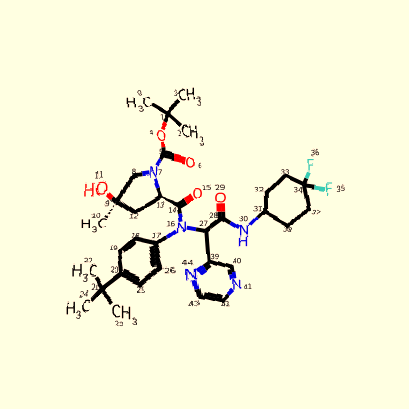 CC(C)(C)OC(=O)N1C[C@](C)(O)C[C@@H]1C(=O)N(c1ccc(C(C)(C)C)cc1)C(C(=O)NC1CCC(F)(F)CC1)c1cnccn1